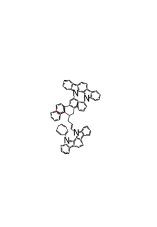 C=C(c1ccccc1)C(C/C=C/n1c2ccccc2c2ccc3c4ccccc4n(C4=CC=CCC=C4)c3c21)Cc1ccc(-n2c3ccccc3c3ccc4c5ccccc5n(-c5ccccc5)c4c32)cc1-c1ccccc1